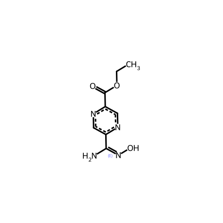 CCOC(=O)c1cnc(/C(N)=N\O)cn1